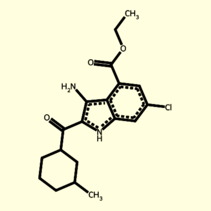 CCOC(=O)c1cc(Cl)cc2[nH]c(C(=O)C3CCCC(C)C3)c(N)c12